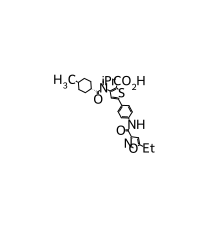 CCc1cc(C(=O)Nc2ccc(-c3cc(N(C(=O)[C@H]4CC[C@H](C)CC4)C(C)C)c(C(=O)O)s3)cc2)no1